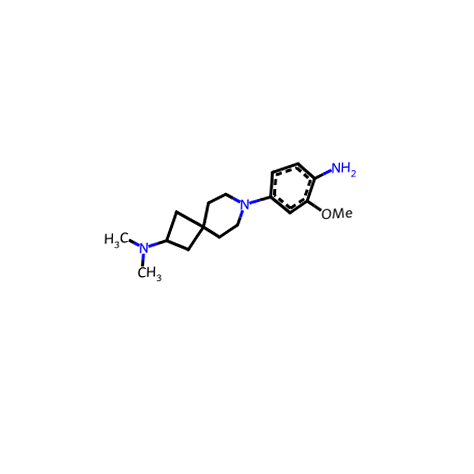 COc1cc(N2CCC3(CC2)CC(N(C)C)C3)ccc1N